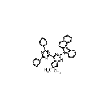 CC1(C)C=c2nc(-n3c4ccccc4c4c5ccccc5ccc43)nc(-c3nc(-c4ccccc4)nc(-c4ccccc4)n3)c2=C1